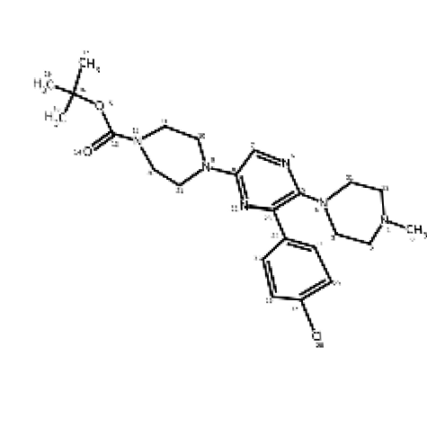 CN1CCN(c2ncc(N3CCN(C(=O)OC(C)(C)C)CC3)nc2-c2ccc(Cl)cc2)CC1